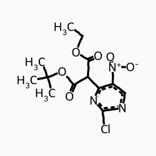 CCOC(=O)C(C(=O)OC(C)(C)C)c1nc(Cl)ncc1[N+](=O)[O-]